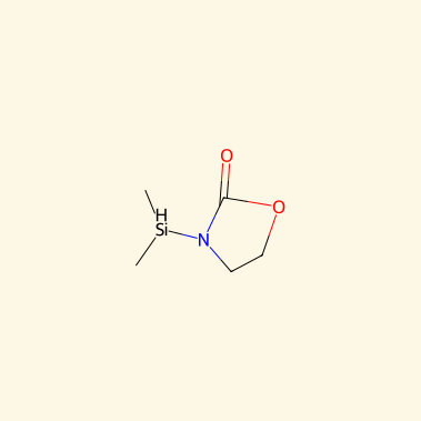 C[SiH](C)N1CCOC1=O